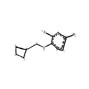 Fc1cc(Br)ccc1OCC1CCC1